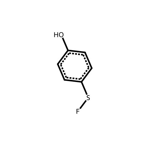 Oc1ccc(SF)cc1